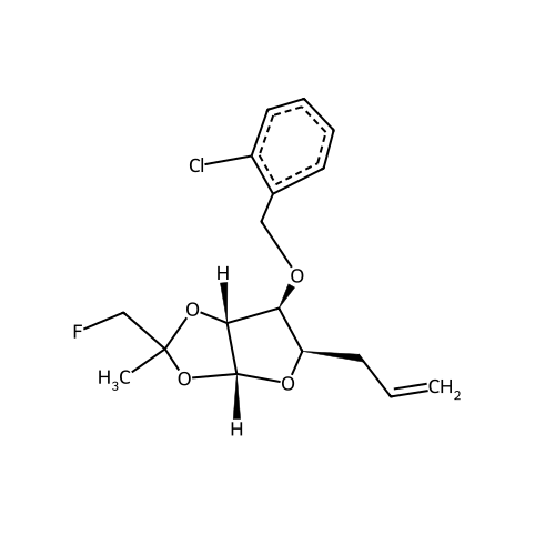 C=CC[C@H]1O[C@@H]2OC(C)(CF)O[C@@H]2[C@H]1OCc1ccccc1Cl